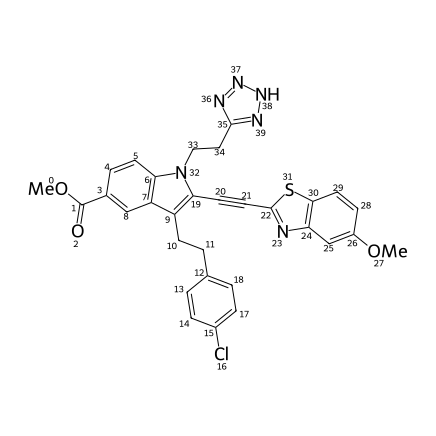 COC(=O)c1ccc2c(c1)c(CCc1ccc(Cl)cc1)c(C#Cc1nc3cc(OC)ccc3s1)n2CCc1nn[nH]n1